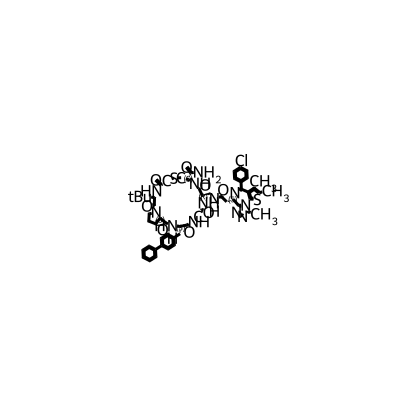 Cc1sc2c(c1C)C(c1ccc(Cl)cc1)=N[C@@H](CC(=O)NC[C@H]1NC(=O)CNC(=O)[C@H](Cc3ccc(-c4ccccc4)cc3)NC(=O)[C@@H]3CCCN3C(=O)C(C(C)(C)C)NC(=O)CSC[C@H](C(N)=O)NC1=O)c1nnc(C)n1-2